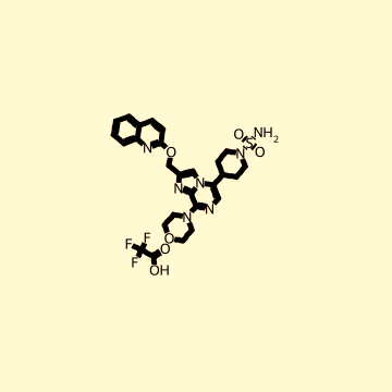 NS(=O)(=O)N1CCC(c2cnc(N3CCOCC3)c3nc(COc4ccc5ccccc5n4)cn23)CC1.O=C(O)C(F)(F)F